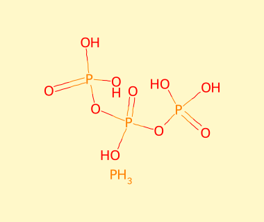 O=P(O)(O)OP(=O)(O)OP(=O)(O)O.P